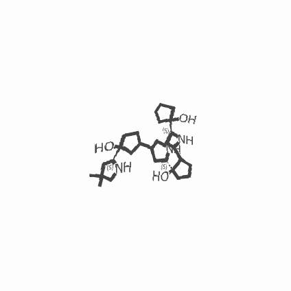 CC1(C)CN[C@H](C2(O)CCC(C3CN[C@H](C4(O)CCCC4C4C[C@@H](C5(O)CCCC5)N4)C3)C2)C1